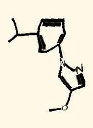 COc1cnn(-c2cccc(C(C)C)c2)c1